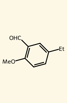 CCc1ccc(OC)c(C=O)c1